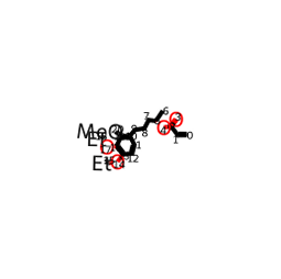 C=CC(=O)OC(C)CCCc1ccc(OCC)c(OCC)c1OC